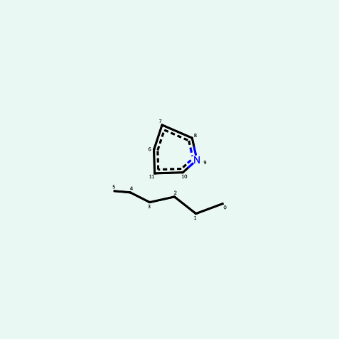 CCCCCC.c1ccncc1